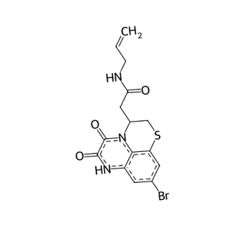 C=CCNC(=O)CC1CSc2cc(Br)cc3[nH]c(=O)c(=O)n1c23